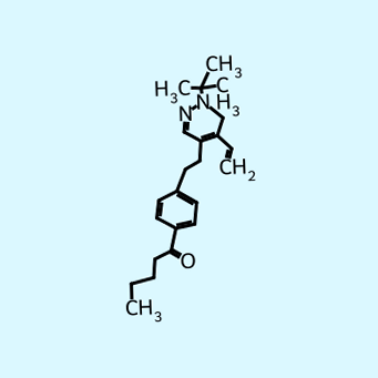 C=CC1=C(CCc2ccc(C(=O)CCCC)cc2)C=NN(C(C)(C)C)C1